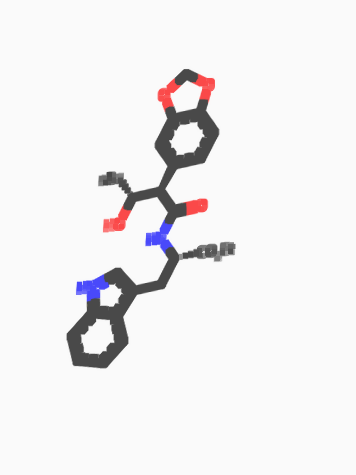 CCCC[C@@H](O)[C@H](C(=O)N[C@@H](Cc1c[nH]c2ccccc12)C(=O)OCC)c1ccc2c(c1)OCO2